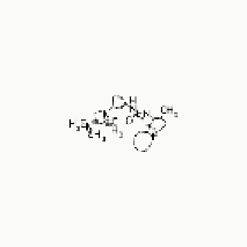 CC1CCC(F)C2(C3CCCCCCC3)CC(C(=O)Nc3cccc(N4CC[C@@H](N(C)C)C[C@H]4C)c3)NC12